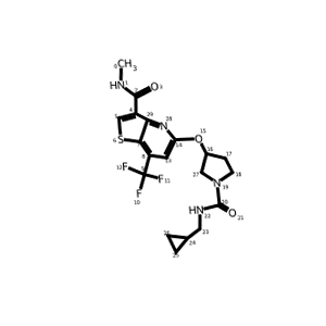 CNC(=O)c1csc2c(C(F)(F)F)cc(OC3CCN(C(=O)NCC4CC4)C3)nc12